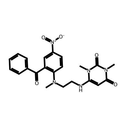 CN(CCNc1cc(=O)n(C)c(=O)n1C)c1ccc([N+](=O)[O-])cc1C(=O)c1ccccc1